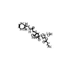 [2H]OC[C@H]1O[C@@H](n2cc(/C=C/C(=O)NC[C@@H]3[C@@H]4CCC#CCC[C@@H]43)c(=O)[nH]c2=O)CC1OC(=O)CCC(C)=O